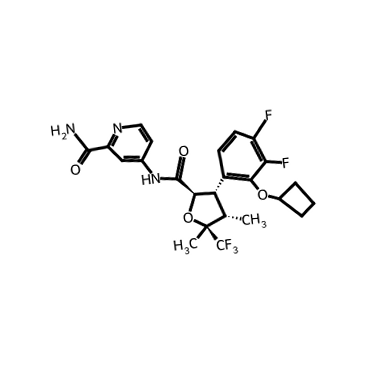 C[C@H]1[C@@H](c2ccc(F)c(F)c2OC2CCC2)[C@H](C(=O)Nc2ccnc(C(N)=O)c2)O[C@]1(C)C(F)(F)F